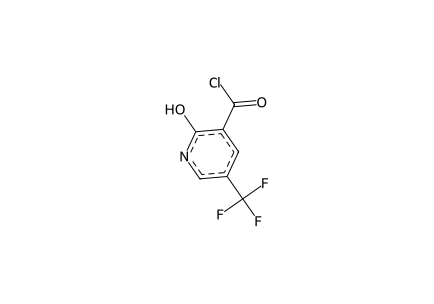 O=C(Cl)c1cc(C(F)(F)F)cnc1O